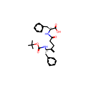 C=C(CCC(=O)N[C@@H](Cc1ccccc1)C(=O)O)[C@H](Cc1ccccc1)NC(=O)OC(C)(C)C